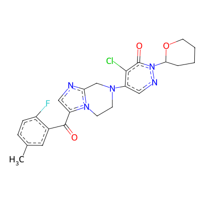 Cc1ccc(F)c(C(=O)c2cnc3n2CCN(c2cnn(C4CCCCO4)c(=O)c2Cl)C3)c1